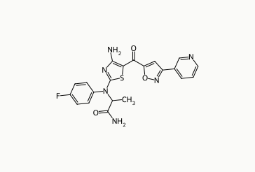 CC(C(N)=O)N(c1ccc(F)cc1)c1nc(N)c(C(=O)c2cc(-c3cccnc3)no2)s1